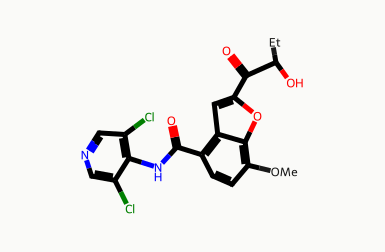 CCC(O)C(=O)c1cc2c(C(=O)Nc3c(Cl)cncc3Cl)ccc(OC)c2o1